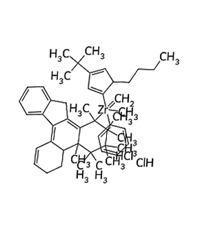 Cl.Cl.[CH2]=[Zr]([CH3])([C]1=CC(C(C)(C)C)=CC1CCCC)([c]1ccccc1)[C]1(C)C2=C3Cc4ccccc4C3=C3C=CCCC3C2(C)C(C)(C)C(C)(C)C1(C)C